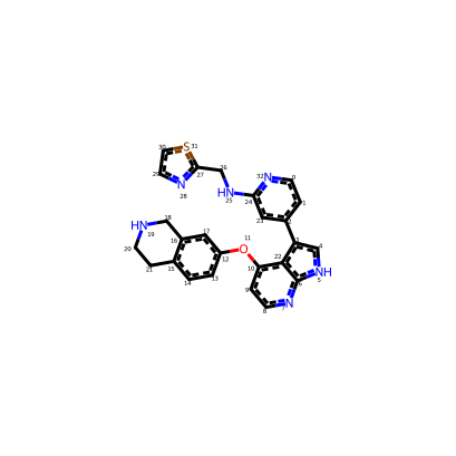 c1cc(-c2c[nH]c3nccc(Oc4ccc5c(c4)CNCC5)c23)cc(NCc2nccs2)n1